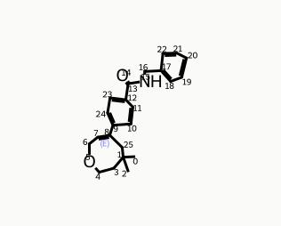 CC1(C)CCOC/C=C(/c2ccc(C(=O)NCc3ccccc3)cc2)C1